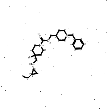 CC[C@@H]1C[C@H]1NCC1(F)CCN(C(=O)OCC2CCN(Cc3ccccc3)CC2)CC1